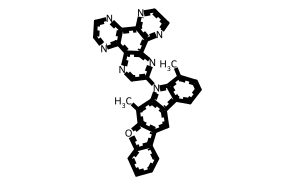 Cc1cccc2c3cc4c(oc5ccccc54)c(C)c3n(-c3cnc4c5nccnc5c5nccnc5c4n3)c12